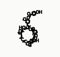 CCC1/C=C(\C)CC(C)CC(OC)C2OC(O)(C(=O)C(=O)N3CCCCC3C(=O)OC(C(C)=CC3CCC(OCC(=O)c4ccc(O)cc4)C(OC)C3)C(C)C(O)CC1=O)C(C)CC2OC